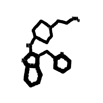 NCCN1CCC(Nc2nc3ccccc3n2Cc2ccccn2)CC1